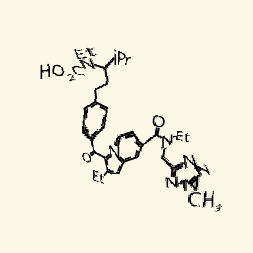 CCc1cc2cc(C(=O)N(CC)Cc3nnn(C)n3)ccn2c1C(=O)c1ccc(CCC(C(C)C)N(CC)C(=O)O)cc1